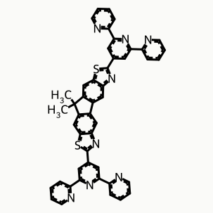 CC1(C)c2cc3sc(-c4cc(-c5ccccn5)nc(-c5ccccn5)c4)nc3cc2-c2cc3nc(-c4cc(-c5ccccn5)nc(-c5ccccn5)c4)sc3cc21